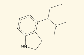 [CH2]CC(c1cccc2c1CCN2)N(C)C